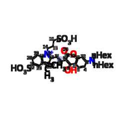 CCCCCCN(CCCCCC)c1ccc2c(O)c(/C=C/C3=[N+](CCCS(=O)(=O)O)c4ccc(S(=O)(=O)O)cc4C3(C)C)c(=O)oc2c1